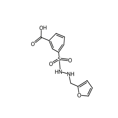 O=C(O)c1cccc(S(=O)(=O)NNCc2ccco2)c1